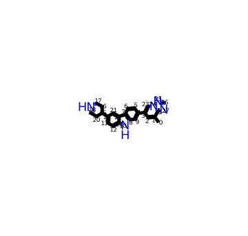 Cc1cc(-c2ccc3c(c2)[nH]c2ccc(C4CCNCC4)cc23)cn2ncnc12